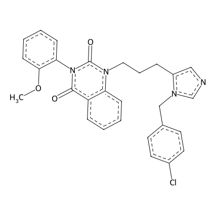 COc1ccccc1-n1c(=O)c2ccccc2n(CCCc2cncn2Cc2ccc(Cl)cc2)c1=O